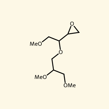 COCC(COC(COC)C1CO1)OC